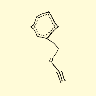 C#COCc1ccccc1